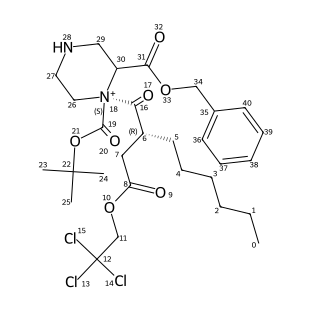 CCCCCC[C@H](CC(=O)OCC(Cl)(Cl)Cl)C(=O)[N@+]1(C(=O)OC(C)(C)C)CCNCC1C(=O)OCc1ccccc1